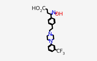 O=C(O)CC/C(=N/O)c1ccc(CCN2CCN(c3cccc(C(F)(F)F)c3)CC2)cc1